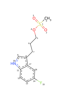 CS(=O)(=O)OCCCc1c[nH]c2ccc(F)cc12